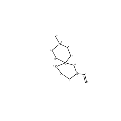 C=CN1CCOC2(CCN(C)CC2)C1